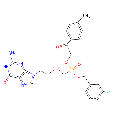 Cc1ccc(C(=O)COP(=O)(COCCn2cnc3c(=O)[nH]c(N)nc32)OCc2cccc(F)c2)cc1